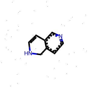 [CH]1NC=Cc2cnccc21